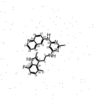 Cc1nc(NCCc2c(C)[nH]c3c(F)ccc(C)c23)cc(Nc2ccc3ncccc3c2)n1